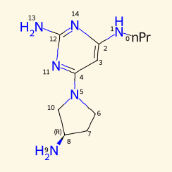 CCCNc1cc(N2CC[C@@H](N)C2)nc(N)n1